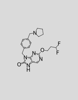 O=c1[nH]c2cnc(OCCC(F)F)nc2n1Cc1ccc(CN2CCCC2)cc1